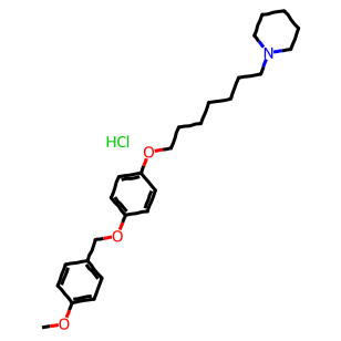 COc1ccc(COc2ccc(OCCCCCCCN3CCCCC3)cc2)cc1.Cl